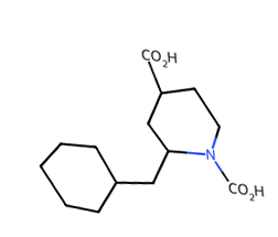 O=C(O)C1CCN(C(=O)O)C(CC2CCCCC2)C1